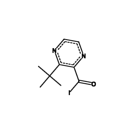 CC(C)(C)c1nccnc1C(=O)I